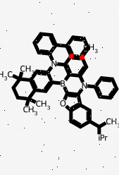 Cc1cc2c3c(c1)N(c1ccccc1)c1c(oc4ccc(C(C)C(C)C)cc14)B3c1cc3c(cc1N2c1ccccc1-c1ccccc1)C(C)(C)CCC3(C)C